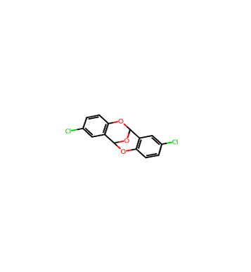 Clc1ccc2c(c1)C1Oc3ccc(Cl)cc3C(O2)O1